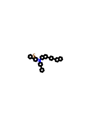 c1ccc(-c2ccc(N(c3ccc4ccc(-c5ccc(-c6ccc7ccccc7c6)cc5)cc4c3)c3ccc4c(c3)sc3ccccc34)cc2)cc1